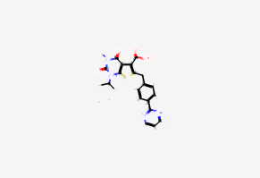 CC(C)n1c(=O)n(C)c(=O)c2c(C(=O)O)c(Cc3ccc(-c4ncccn4)cc3)sc21.Cl